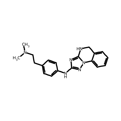 CN(C)CCc1ccc(Nc2nc3n(n2)-c2ccccc2CN3)cc1